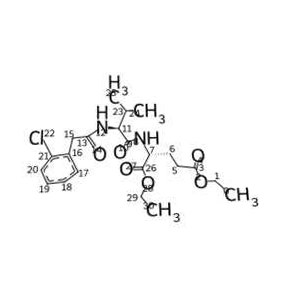 CCOC(=O)CC[C@@H](NC(=O)[C@@H](NC(=O)Cc1ccccc1Cl)C(C)C)C(=O)OCC